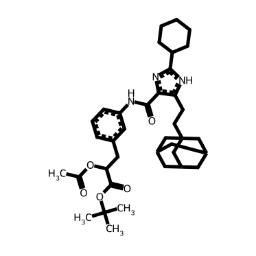 CC(=O)OC(Cc1cccc(NC(=O)c2nc(C3CCCCC3)[nH]c2CCC23CC4CC(CC(C4)C2)C3)c1)C(=O)OC(C)(C)C